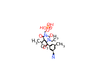 CCn1c(C(=O)c2cc(C)cc(C#N)c2)c(C(C)C)c(=O)n(COP(=O)(O)O)c1=O